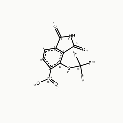 O=C1NC(=O)c2c1ccc([N+](=O)[O-])c2SC(F)(F)F